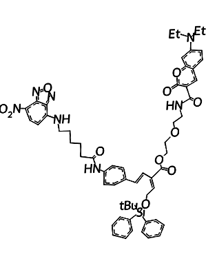 CCN(CC)c1ccc2cc(C(=O)NCCOCCOC(=O)C(/C=C/c3ccc(NC(=O)CCCCCNc4ccc([N+](=O)[O-])c5nonc45)cc3)=C/CO[Si](c3ccccc3)(c3ccccc3)C(C)(C)C)c(=O)oc2c1